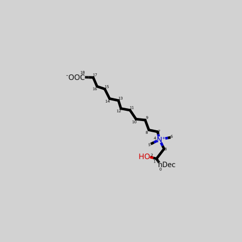 CCCCCCCCCCC(O)C[N+](C)(C)CCCCCCCCCCCC(=O)[O-]